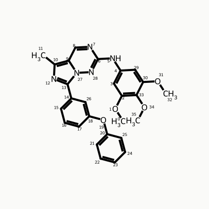 COc1cc(Nc2ncc3c(C)nc(-c4cccc(Oc5ccccc5)c4)n3n2)cc(OC)c1OC